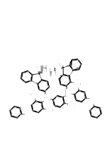 CCC1(C)c2ccccc2-c2c1ccc1c2Oc2cc(Oc3ccccc3)cc3c2B1c1cc2c(cc1O3)Oc1cc(Oc3ccccc3)cc3c1B2c1ccc2c(c1O3)-c1ccccc1C2(C)C